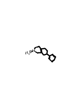 BN1CCC2=C(CC(c3ccccc3)CC2)C1